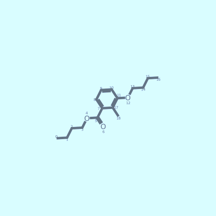 CCCCOC(=O)c1cccc(OCCCC)c1C